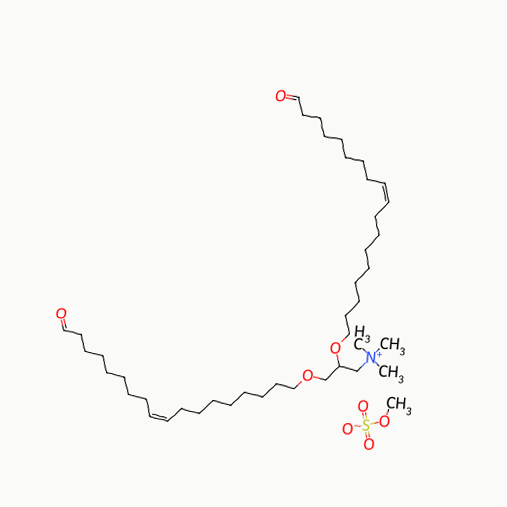 COS(=O)(=O)[O-].C[N+](C)(C)CC(COCCCCCCCC/C=C\CCCCCCCC=O)OCCCCCCCC/C=C\CCCCCCCC=O